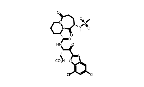 CS(=O)(=O)N[C@H]1CCC(=O)N2CCC[C@@H](C(=O)N[C@@H](CC(=O)O)C(=O)c3nc4cc(Cl)cc(Cl)c4o3)N2C1=O